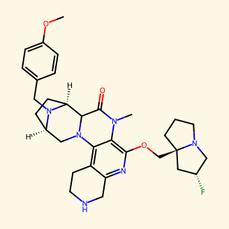 COc1ccc(CN2[C@@H]3CC[C@H]2C2C(=O)N(C)c4c(OC[C@@]56CCCN5C[C@H](F)C6)nc5c(c4N2C3)CCNC5)cc1